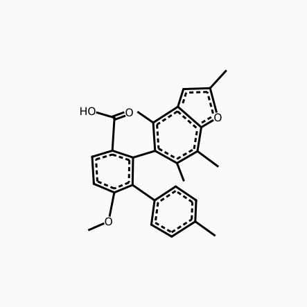 COc1ccc(C(=O)O)c(-c2c(C)c(C)c3oc(C)cc3c2C)c1-c1ccc(C)cc1